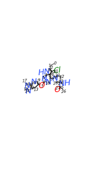 CCc1[nH]c2nc(Oc3cnc4c(c3)ncn4C)nc(N3CC[C@@H](NC(C)=O)C3)c2c1Cl